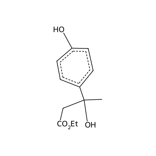 CCOC(=O)CC(C)(O)c1ccc(O)cc1